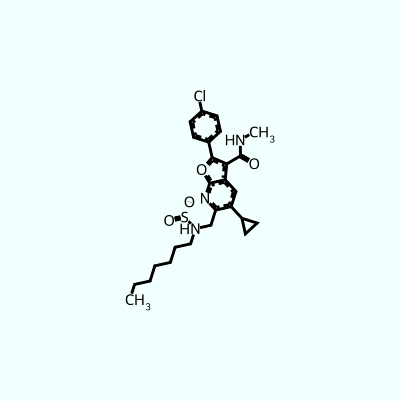 CCCCCCCN(Cc1nc2oc(-c3ccc(Cl)cc3)c(C(=O)NC)c2cc1C1CC1)[SH](=O)=O